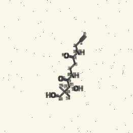 C#CCNC(=O)CCNC(=O)[C@H](O)C(C)(C)CO